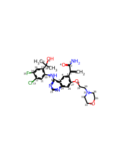 C=C(C(N)=O)c1cc2c(Nc3cc(Cl)c(F)cc3C(C)(C)O)ncnc2cc1OCCN1CCOCC1